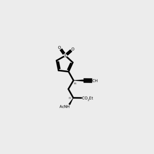 C#C[C@@H](C[C@H](NC(C)=O)C(=O)OCC)C1=CS(=O)(=O)C=C1